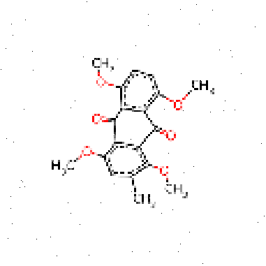 COc1ccc(OC)c2c1C(=O)c1c(OC)cc(C)c(OC)c1C2=O